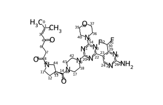 CC(C)=CC(=O)CCC(=O)N1CC[C@H](C(=O)N2CCN(c3nc(-c4cnc(N)nc4C(F)F)nc(N4CCOCC4)n3)CC2)C1